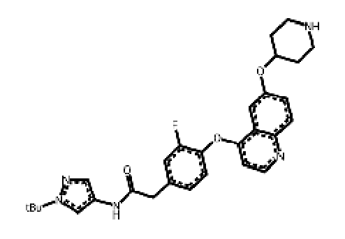 CC(C)(C)n1cc(NC(=O)Cc2ccc(Oc3ccnc4ccc(OC5CCNCC5)cc34)c(F)c2)cn1